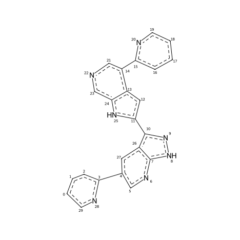 c1ccc(-c2cnc3[nH]nc(-c4cc5c(-c6ccccn6)cncc5[nH]4)c3c2)nc1